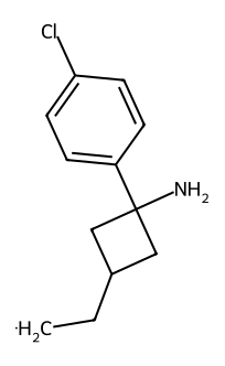 [CH2]CC1CC(N)(c2ccc(Cl)cc2)C1